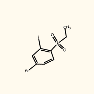 CCS(=O)(=O)c1ccc(Br)cc1I